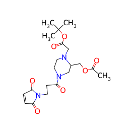 CC(=O)OCC1CN(C(=O)CCN2C(=O)C=CC2=O)CCN1CC(=O)OC(C)(C)C